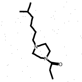 CCC(=O)N1CCN(CCCCC(C)C)CC1